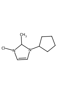 CC1N(Cl)C=CN1C1CCCC1